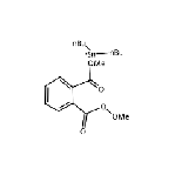 CCC[CH2][Sn][CH2]CCC.COOC(=O)c1ccccc1C(=O)OC